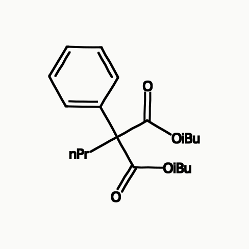 CCCC(C(=O)OCC(C)C)(C(=O)OCC(C)C)c1ccccc1